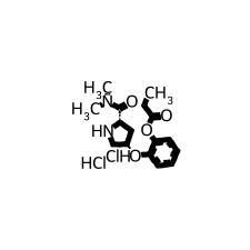 CCC(=O)Oc1ccccc1O[C@@H]1CN[C@H](C(=O)N(C)C)C1.Cl.Cl